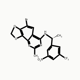 Cc1nc(N[C@H](C)c2cc([N+](=O)[O-])cc(C(F)(F)F)c2)c2cc(Br)c3c(c2n1)OCO3